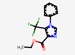 CCOC(=O)c1ncn(-c2ccccc2)c1C(F)(F)F